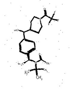 C[C@@H](c1ccc(C(O)C2CCN(C(=O)C(F)(F)F)CC2)cc1)N(C(=O)O)C(C)(C)C